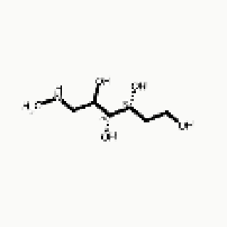 CNCC(O)[C@@H](O)[C@H](O)CCO